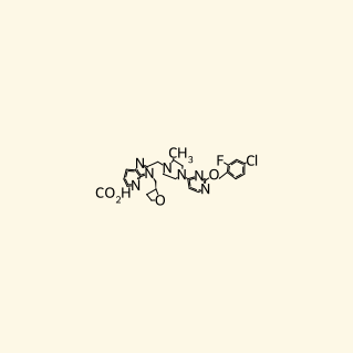 C[C@H]1CN(c2ccnc(OCc3ccc(Cl)cc3F)n2)CCN1Cc1nc2ccc(C(=O)O)nc2n1C[C@@H]1CCO1